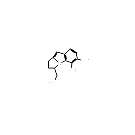 COc1ccc2cc3n(c2c1C)C(CC(=O)O)CC3